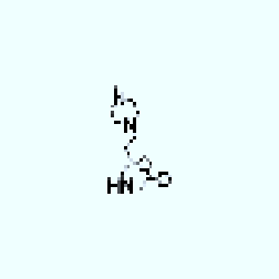 CN1CCN(CCC2CNCC(=O)O2)CC1